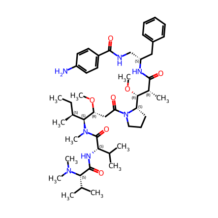 CC[C@H](C)[C@@H]([C@@H](CC(=O)N1CCC[C@H]1[C@H](OC)[C@@H](C)C(=O)N[C@H](CNC(=O)c1ccc(N)cc1)Cc1ccccc1)OC)N(C)C(=O)[C@@H](NC(=O)[C@H](C(C)C)N(C)C)C(C)C